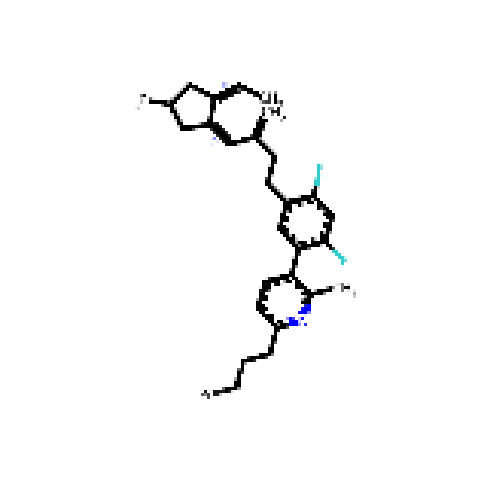 C=C(/C=C1/CC(C)C/C1=C/C)CCc1cc(-c2ccc(CCCC(C)C)nc2C)c(F)cc1F